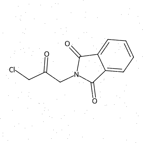 O=C(CCl)CN1C(=O)c2ccccc2C1=O